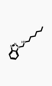 CCCCCCNCn1nnc2ccccc21